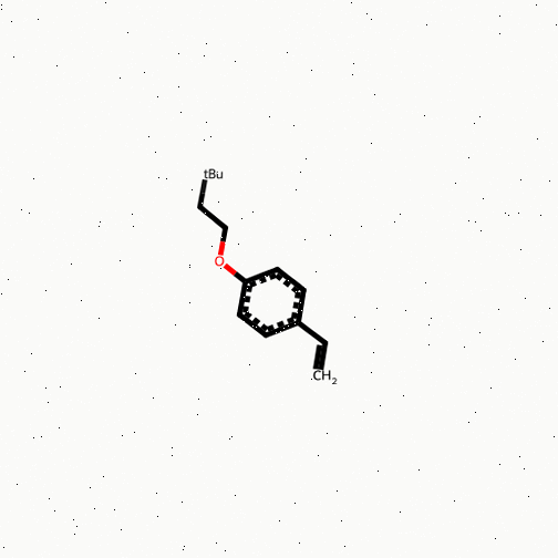 C=Cc1ccc(OCCC(C)(C)C)cc1